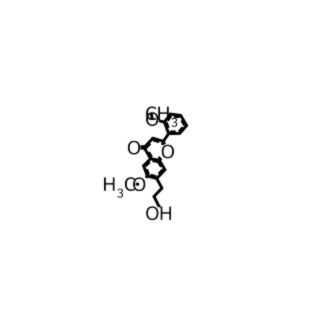 COc1cc2c(=O)cc(-c3ccccc3OC)oc2cc1CCCO